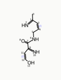 CC(=N)/C=C\CNC(=O)C(=N)/C=C\O